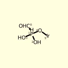 O=C[PH](O)(O)[O][Ir]